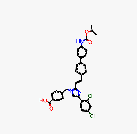 CC(C)OC(=O)Nc1ccc(-c2ccc(C=Cc3nc(-c4ccc(Cl)cc4Cl)cn3Cc3ccc(C(=O)O)cc3)cc2)cc1